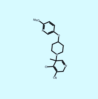 COc1ccc(OC2CCN(C3(C)C=NCC(C#N)=C3Cl)CC2)cn1